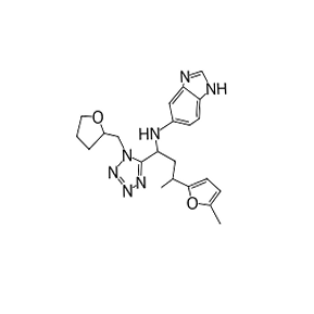 Cc1ccc(C(C)CC(Nc2ccc3[nH]cnc3c2)c2nnnn2CC2CCCO2)o1